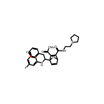 COC(=O)C1=C(C(=O)NCCN2CCCC2)C2C=CC1(C(Cc1ccccc1)Nc1cc(F)cc(Cl)c1)O2